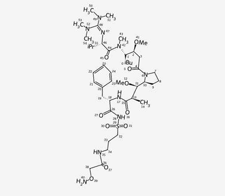 CC[C@H](C)[C@@H]([C@H](CC(=O)N1CCC[C@H]1[C@H](OC)[C@@H](C)C(=O)N[C@@H](Cc1ccccc1)C(=O)NS(=O)(=O)CCCNC(=O)CON)OC)N(C)C(=O)[C@@H](N=C(N(C)C)N(C)C)C(C)C